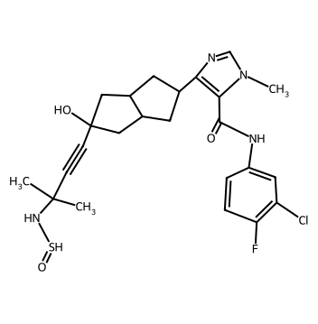 Cn1cnc(C2CC3CC(O)(C#CC(C)(C)N[SH]=O)CC3C2)c1C(=O)Nc1ccc(F)c(Cl)c1